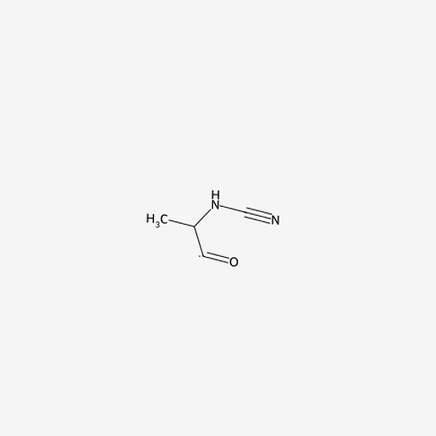 CC([C]=O)NC#N